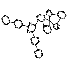 c1ccc(-c2ccc(-c3cc(-c4cccc5c4-c4ccccc4C54c5ccccc5-c5ccccc5-c5ccccc54)nc(-c4ccc(-c5ccccc5)cc4)n3)cc2)cc1